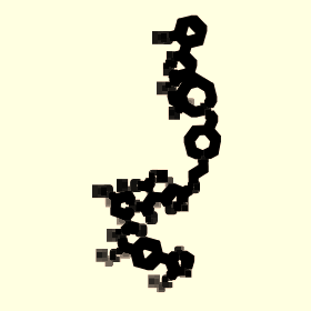 Cc1ncsc1-c1ccc([C@H](C)NC(=O)[C@@H]2C[C@@H](O)CN2C(=O)[C@@H](c2cc(OCCN3CCCC(CN4CCC5CC[C@@H](CNc6nnc(-c7ccccc7O)cc65)C4)CC3)no2)C(C)C)cc1